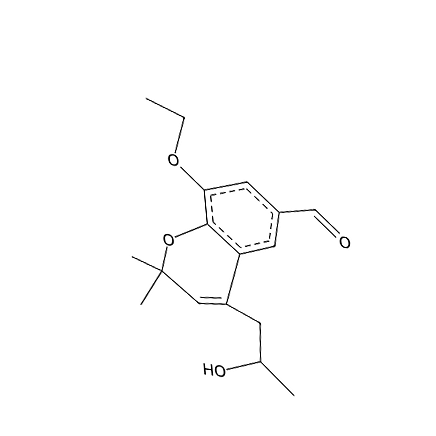 CCOc1cc(C=O)cc2c1OC(C)(C)C=C2CC(C)O